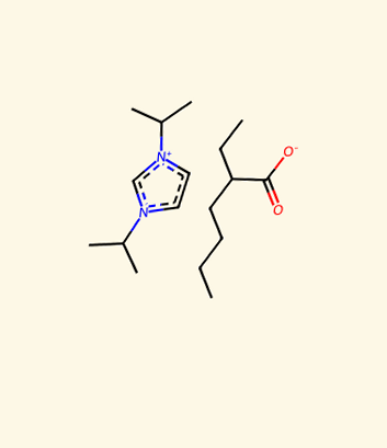 CC(C)n1cc[n+](C(C)C)c1.CCCCC(CC)C(=O)[O-]